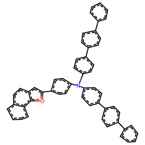 c1ccc(-c2ccc(-c3ccc(N(c4ccc(-c5ccc(-c6ccccc6)cc5)cc4)c4ccc(-c5cc6ccc7ccccc7c6o5)cc4)cc3)cc2)cc1